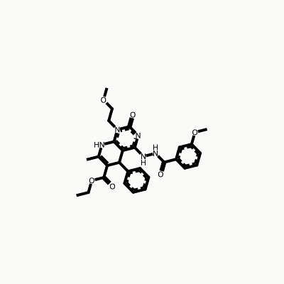 CCOC(=O)C1=C(C)Nc2c(c(NNC(=O)c3cccc(OC)c3)nc(=O)n2CCOC)C1c1ccccc1